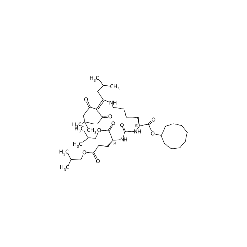 CC(C)COC(=O)CC[C@H](NC(=O)N[C@@H](CCCCNC(CC(C)C)=C1C(=O)CC(C)(C)CC1=O)C(=O)OC1CCCCCCCC1)C(=O)OCC(C)C